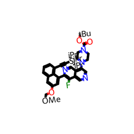 COCOc1cc(-c2ncc3c(N4CCN(C(=O)OC(C)(C)C)CC4)cncc3c2F)c2c(C#C[Si](C(C)C)(C(C)C)C(C)C)cccc2c1